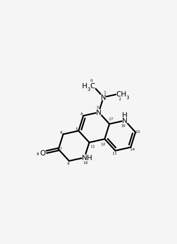 CN(C)N1C=C2CC(=O)CNC2C2=CC=CNC21